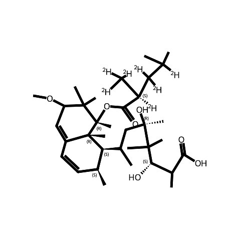 [2H]C(C)(C)C([2H])([2H])[C@@]([2H])(C(=O)O[C@@]1(C)C(C)(C)C(OC)C=C2C=C[C@H](C)[C@H](C(C)C[C@@](C)(O)C(C)(C)[C@@H](O)C(C)C(=O)O)[C@]21C)C([2H])([2H])[2H]